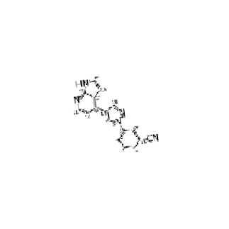 N#Cc1cccc(-n2cc(-c3ccnc4[nH]ccc34)cn2)c1